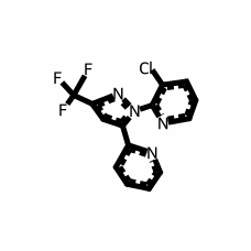 FC(F)(F)c1cc(-c2ccccn2)n(-c2ncccc2Cl)n1